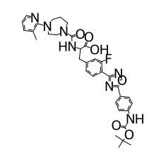 Cc1cccnc1N1CCCN(C(=O)NC(Cc2ccc(-c3noc(-c4ccc(NC(=O)OC(C)(C)C)cc4)n3)c(F)c2)C(=O)O)CC1